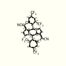 N#CC(C#N)=c1ccn2c(-c3ccc(C(F)(F)F)cc3C(F)(F)F)c3c(=C(C#N)C#N)ccn3c(-c3ccc(C(F)(F)F)cc3C(F)(F)F)c12